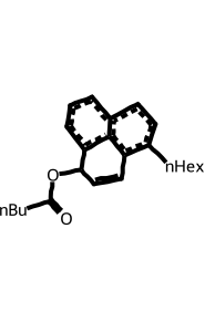 CCCCCCc1ccc2cccc3c2c1C=CC3OC(=O)CCCC